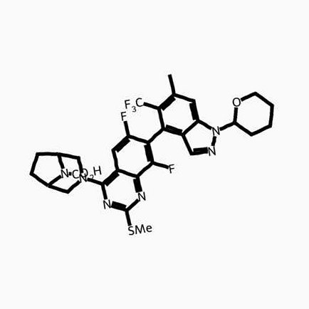 CSc1nc(N2CC3CCC(C2)N3C(=O)O)c2cc(F)c(-c3c(C(F)(F)F)c(C)cc4c3cnn4C3CCCCO3)c(F)c2n1